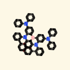 c1ccc(-c2ccccc2N2c3cc(N(c4ccccc4)c4ccccc4)ccc3B3c4ccc(N(c5ccccc5)c5ccccc5)cc4N(c4ccccc4-c4ccccc4)c4cccc2c43)cc1